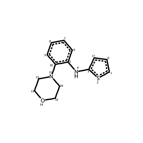 c1csc(Nc2ccccc2N2CCOCC2)c1